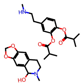 CN1CCc2cc3c(cc2C1O)OCO3.CNCCc1ccc(OC(=O)C(C)C)c(OC(=O)C(C)C)c1